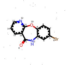 O=C1Nc2cc(Br)ccc2Oc2ncccc21